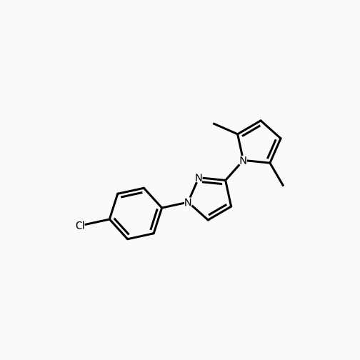 Cc1ccc(C)n1-c1ccn(-c2ccc(Cl)cc2)n1